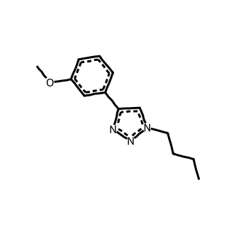 CCCCn1cc(-c2cccc(OC)c2)nn1